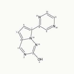 Oc1ncc2ccc(-c3cnccn3)n2n1